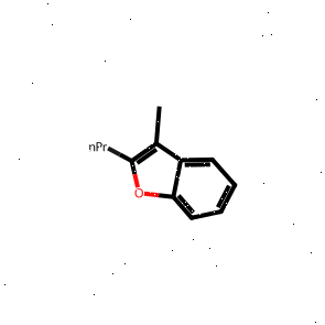 CCCc1oc2ccccc2c1C